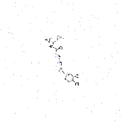 CCC(C)NC(=O)/C=C/C=C/C1CC1c1ccc(Cl)c(Cl)c1